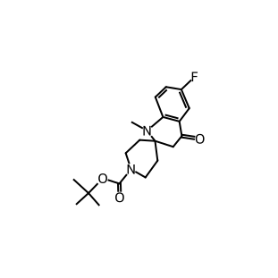 CN1c2ccc(F)cc2C(=O)CC12CCN(C(=O)OC(C)(C)C)CC2